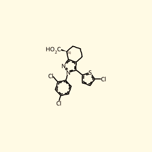 O=C(O)[C@H]1CCCc2c1nn(-c1ccc(Cl)cc1Cl)c2-c1ccc(Cl)s1